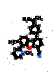 Cc1ccc2c(oc3c(C#N)ccc(-c4ccc(C(C)C)cc4)c32)c1-c1cccc[n+]1C